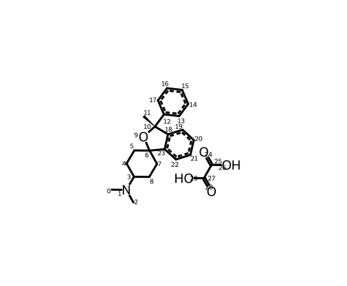 CN(C)C1CCC2(CC1)O[C@](C)(c1ccccc1)c1ccccc12.O=C(O)C(=O)O